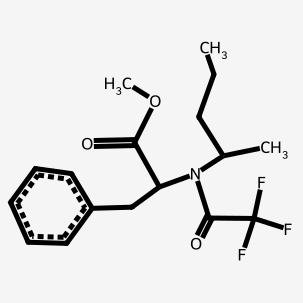 CCCC(C)N(C(=O)C(F)(F)F)C(Cc1ccccc1)C(=O)OC